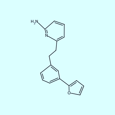 Nc1cccc(CCc2cccc(-c3ccco3)c2)n1